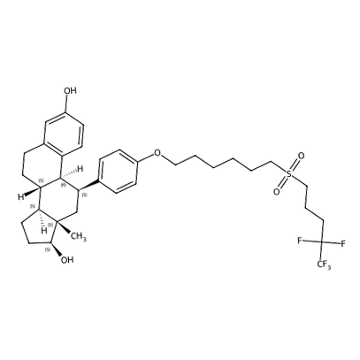 C[C@]12C[C@H](c3ccc(OCCCCCCS(=O)(=O)CCCC(F)(F)C(F)(F)F)cc3)[C@@H]3c4ccc(O)cc4CC[C@H]3[C@@H]1CC[C@@H]2O